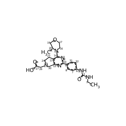 CCNC(=O)Nc1ccc(-c2nc3c(c(N4CCOC[C@@H]4C)n2)CCN(CC(=O)O)C3)cc1